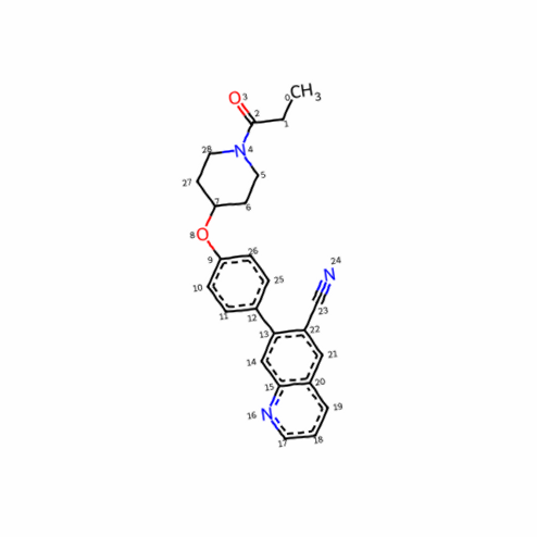 CCC(=O)N1CCC(Oc2ccc(-c3cc4ncccc4cc3C#N)cc2)CC1